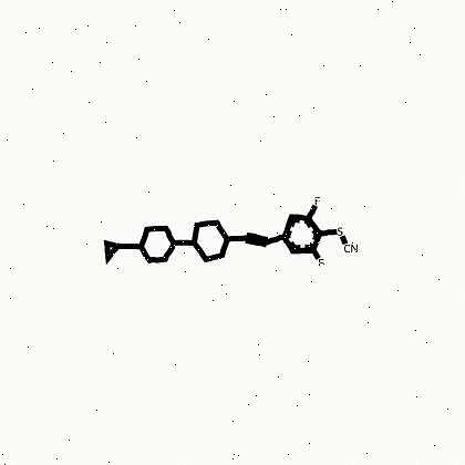 N#CSc1c(F)cc(C#CC2CCC(C3CCC(C4CC4)CC3)CC2)cc1F